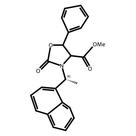 COC(=O)C1C(c2ccccc2)OC(=O)N1[C@H](C)c1cccc2ccccc12